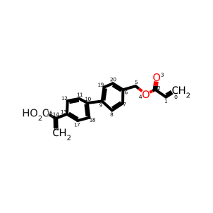 C=CC(=O)OCc1ccc(-c2ccc(C(=C)C(=O)O)cc2)cc1